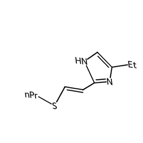 CCCSC=Cc1nc(CC)c[nH]1